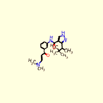 CC(c1n[nH]cc1C(=O)Nc1cccc(C(=O)C=CN(C)C)c1)C(C)(C)C